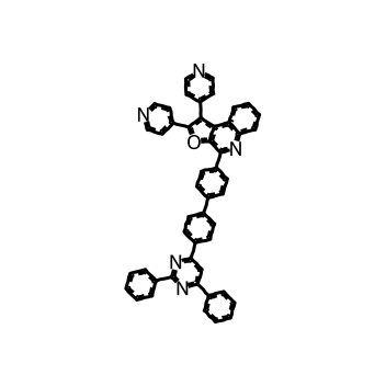 c1ccc(-c2cc(-c3ccc(-c4ccc(-c5nc6ccccc6c6c(-c7ccncc7)c(-c7ccncc7)oc56)cc4)cc3)nc(-c3ccccc3)n2)cc1